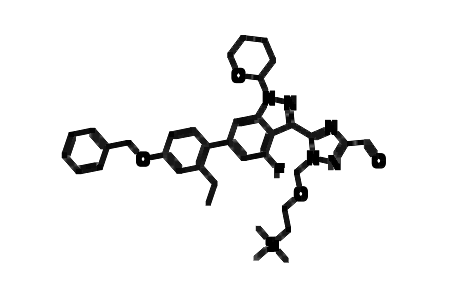 CCc1cc(OCc2ccccc2)ccc1-c1cc(F)c2c(-c3nc(C=O)nn3COCC[Si](C)(C)C)nn(C3CCCCO3)c2c1